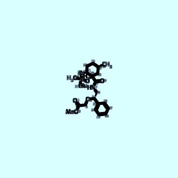 COC(=O)CO[C@H](CNC(=O)[C@]1(O[Si](C)(C)C(C)(C)C)C[C@H](C)CC[C@H]1C(C)C)c1ccccc1